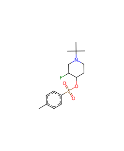 Cc1ccc(S(=O)(=O)OC2CCN(C(C)(C)C)CC2F)cc1